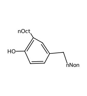 CCCCCCCCCCc1ccc(O)c(CCCCCCCC)c1